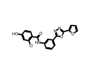 O=C(Nc1cccc(-c2nnc(-c3ccco3)o2)c1)c1ccc(O)cc1Cl